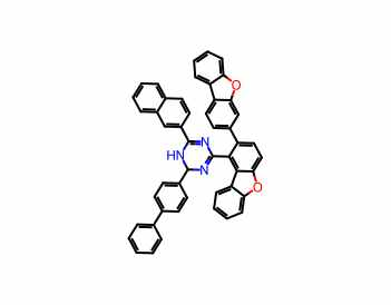 c1ccc(-c2ccc(C3N=C(c4c(-c5ccc6c(c5)oc5ccccc56)ccc5oc6ccccc6c45)N=C(c4ccc5ccccc5c4)N3)cc2)cc1